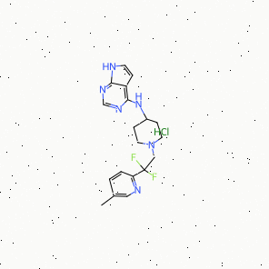 Cc1ccc(C(F)(F)CN2CCC(Nc3ncnc4[nH]ccc34)CC2)nc1.Cl